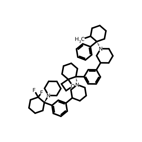 CC1CCCC[C@]1(c1ccccc1)N1CCCC(c2cccc([C@]3(N4CCCC(c5cccc([C@]6(N7CCCCC7)CCCCC6(F)F)c5)C4)CCCCC34CCO4)c2)C1